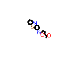 CC(=O)c1ccc(/N=c2\ccc3nc4ccccc4sc-3c2)o1